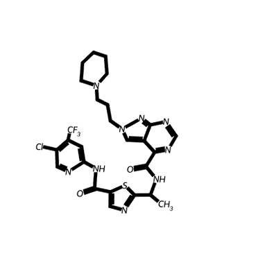 CC(NC(=O)c1ncnc2nn(CCCN3CCCCC3)cc12)c1ncc(C(=O)Nc2cc(C(F)(F)F)c(Cl)cn2)s1